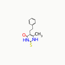 Cc1[nH]c(=S)[nH]c(=O)c1CCc1ccccc1